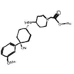 COc1cccc([C@]2(C#N)CC[C@H](NC3CCN(C(=O)OC(C)(C)C)CC3)CC2)c1